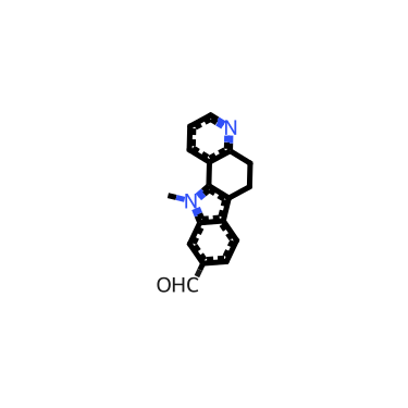 Cn1c2c(c3ccc(C=O)cc31)CCc1ncccc1-2